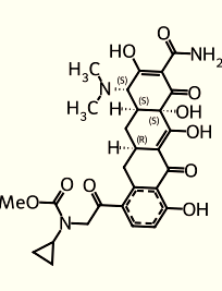 COC(=O)N(CC(=O)c1ccc(O)c2c1C[C@H]1C[C@H]3[C@H](N(C)C)C(O)=C(C(N)=O)C(=O)[C@@]3(O)C(O)=C1C2=O)C1CC1